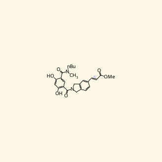 CCCCN(C)C(=O)c1cc(C(=O)N2Cc3ccc(/C=C/C(=O)OC)cc3C2)c(O)cc1O